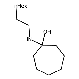 CCCCCCCCNC1(O)CCCCCC1